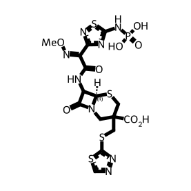 CON=C(C(=O)NC1C(=O)N2CC(CSc3nncs3)(C(=O)O)CS[C@H]12)c1nsc(NP(=O)(O)O)n1